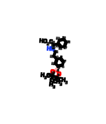 CC1(C)OB(c2cccc(CCN[C@H](C(=O)O)c3ccccc3)c2)OC1(C)C